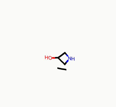 CC.OC1CNC1